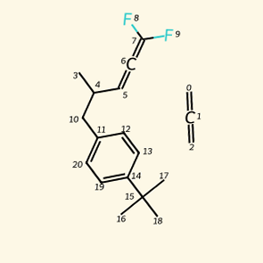 C=C=C.CC(C=C=C(F)F)Cc1ccc(C(C)(C)C)cc1